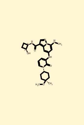 CNc1cc(Nc2cccn([C@H]3CC[C@](C)(OC)CC3)c2=O)cc2c(C(=O)N[C@@H]3CC[C@@H]3O)cnn12